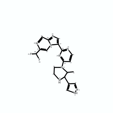 CC1C(c2cn[nH]c2)NCCN1c1ccnc(-c2cnc3cnc(C(F)F)cn23)n1